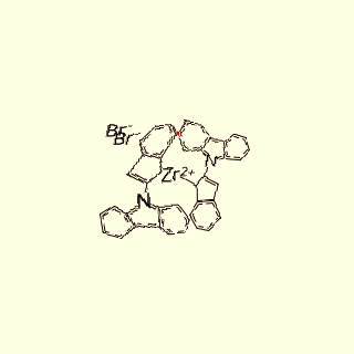 C1=C(n2c3ccccc3c3ccccc32)[CH]([Zr+2][CH]2C(n3c4ccccc4c4ccccc43)=Cc3ccccc32)c2ccccc21.[Br-].[Br-]